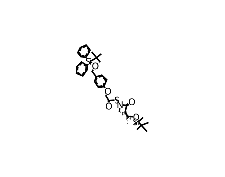 C[C@@H](O[Si](C)(C)C(C)(C)C)[C@@H]1CN(SC(=O)COc2ccc(CO[Si](c3ccccc3)(c3ccccc3)C(C)(C)C)cc2)C1=O